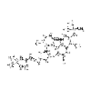 CN(C(=O)OC(C)(C)C)c1cc(F)c(F)c2c1[nH]c1ncc(Cl)c(N3CC[C@]4(C[C@H]4NC(=O)OC(C)(C)C)C3)c12